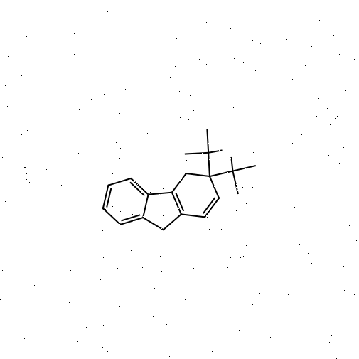 CC(C)(C)C1(C(C)(C)C)C=CC2=C(C1)c1ccccc1C2